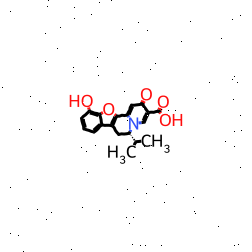 CC(C)[C@@H]1Cc2c(oc3c(O)cccc23)-c2cc(=O)c(C(=O)O)cn21